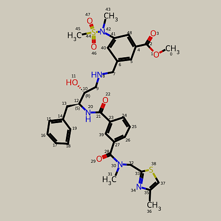 COC(=O)c1cc(CNC[C@@H](O)[C@H](Cc2ccccc2)NC(=O)c2cccc(C(=O)N(C)Cc3nc(C)cs3)c2)cc(N(C)S(C)(=O)=O)c1